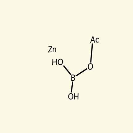 CC(=O)OB(O)O.[Zn]